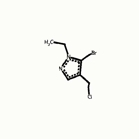 CCn1ncc(CCl)c1Br